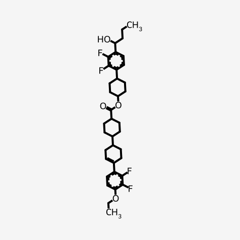 CCCC(O)c1ccc(C2CCC(OC(=O)C3CCC(C4CC=C(c5ccc(OCC)c(F)c5F)CC4)CC3)CC2)c(F)c1F